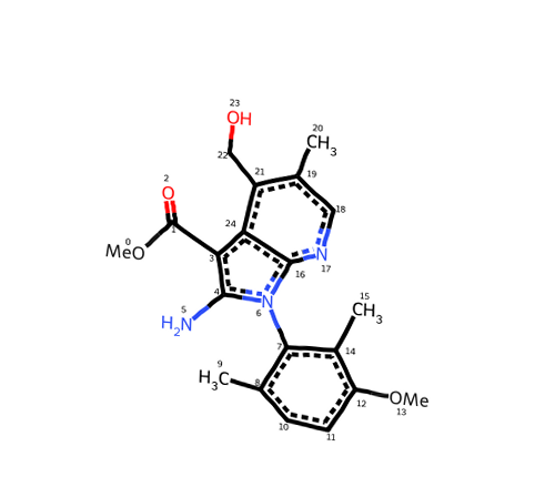 COC(=O)c1c(N)n(-c2c(C)ccc(OC)c2C)c2ncc(C)c(CO)c12